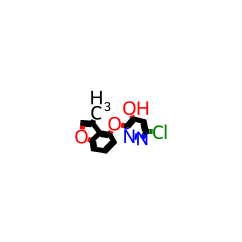 Cc1coc2cccc(Oc3nnc(Cl)cc3O)c12